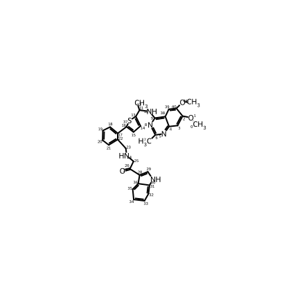 COc1cc2nc(C)nc(NC(C)c3ccc(-c4ccccc4CNCC(=O)c4c[nH]c5ccccc45)s3)c2cc1OC